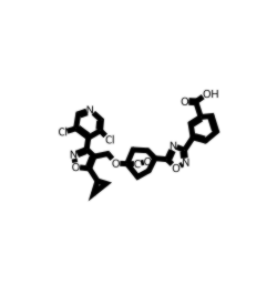 O=C(O)c1cccc(-c2noc(C34CCC(OCc5c(-c6c(Cl)cncc6Cl)noc5C5CC5)(CC3)CO4)n2)c1